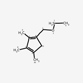 C[SiH2]OCC1=C(C)C(C)=C(C)C1